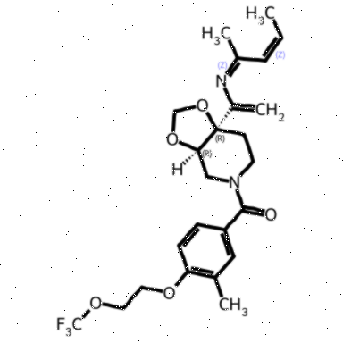 C=C(/N=C(C)\C=C/C)[C@]12CCN(C(=O)c3ccc(OCCOC(F)(F)F)c(C)c3)C[C@H]1OCO2